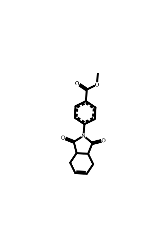 COC(=O)c1ccc(N2C(=O)C3CC=CCC3C2=O)cc1